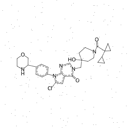 O=C(N1CCC(O)(Cn2cnc3c(cc(Cl)n3-c3ccc(C4COCCN4)cc3)c2=O)CC1)C1(C2CC2)CC1